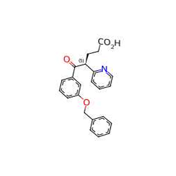 O=C(O)CC[C@H](C(=O)c1cccc(OCc2ccccc2)c1)c1ccccn1